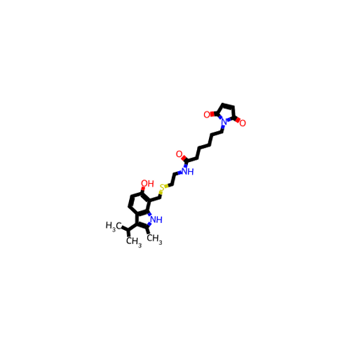 Cc1[nH]c2c(CSCCNC(=O)CCCCCN3C(=O)C=CC3=O)c(O)ccc2c1C(C)C